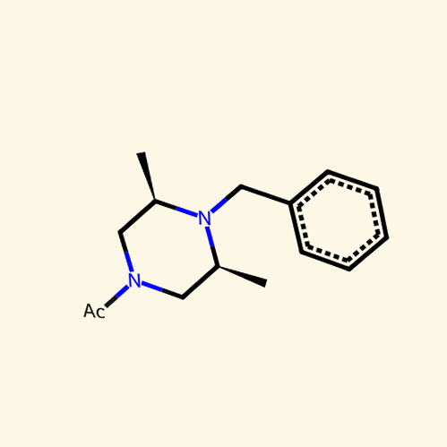 CC(=O)N1C[C@@H](C)N(Cc2ccccc2)[C@@H](C)C1